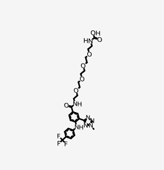 Cn1nnc(-c2cc(C(=O)NCCOCCOCCOCCOCCNC(=O)O)ccc2Nc2ccc(C(F)(F)F)cc2)n1